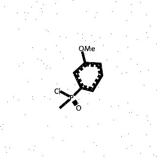 COc1cccc(P(C)(=O)Cl)c1